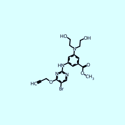 C#CCOc1nc(Nc2cc(C(=O)OC)cc(N(CCO)CCO)c2)ncc1Br